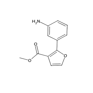 COC(=O)c1ccoc1-c1cccc(N)c1